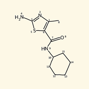 Cc1nc(N)sc1C(=O)NC1CCCCC1